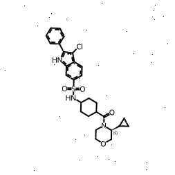 O=C(C1CCC(NS(=O)(=O)c2ccc3c(Cl)c(-c4ccccc4)[nH]c3c2)CC1)N1CCOC[C@@H]1C1CC1